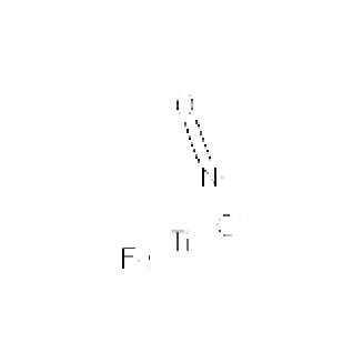 [C].[Fe].[N]=O.[Ti]